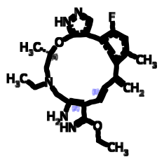 C=C1/C=C/C(C(=N)OCC)=C(/N)CN(CC)C[C@H](C)Oc2[nH]ncc2-c2cc1c(C)cc2F